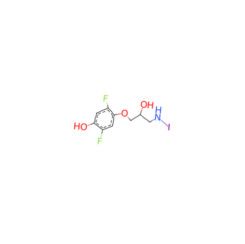 Oc1cc(F)c(OCC(O)CNI)cc1F